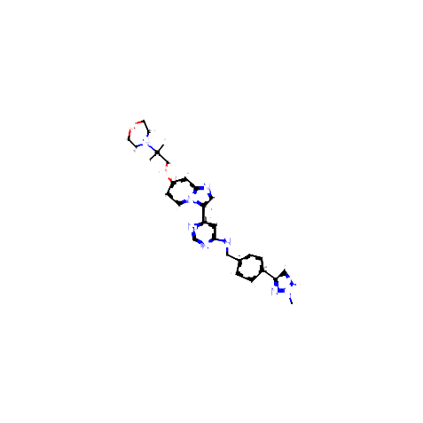 Cn1ncc(-c2ccc(CNc3cc(-c4cnc5cc(OCC(C)(C)N6CCOCC6)ccn45)ncn3)cc2)n1